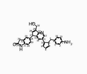 Nc1ccc(CC2C=CC=C2c2cnc3c(c2)C(c2ccc4c(c2)CC(=O)N4)C=C3CO)cc1